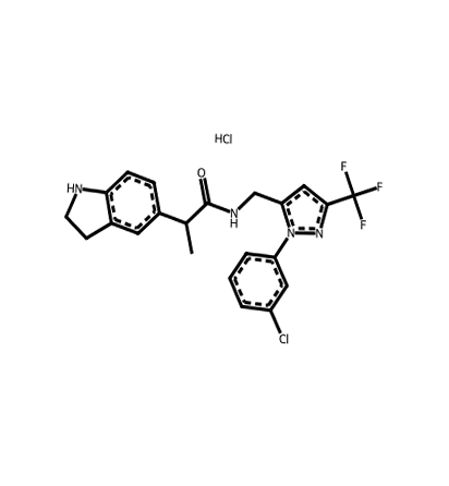 CC(C(=O)NCc1cc(C(F)(F)F)nn1-c1cccc(Cl)c1)c1ccc2c(c1)CCN2.Cl